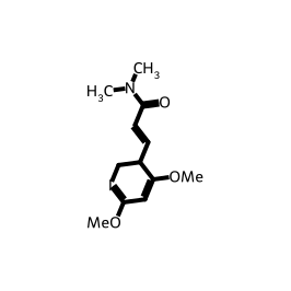 COC1=CC(OC)=ICC1C=CC(=O)N(C)C